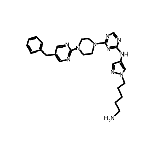 NCCCCCn1cc(Nc2ncnc(N3CCN(c4ncc(Cc5ccccc5)cn4)CC3)n2)cn1